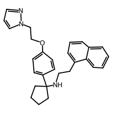 c1ccc2c(CCNC3(c4ccc(OCCn5cccn5)cc4)CCCC3)cccc2c1